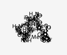 COC(=O)/C=C/c1ccc(C2(OC)OOC23C2CC4CC(C2)CC3C4)c(Cl)c1OCc1ccc(NC(=O)[C@H](CCC(N)=O)NC(=O)[C@H](CC(C)C)NC(=O)[C@H](CCCCN)NC(=O)[C@H](CO)NC(=O)[C@H](CO)NC(=O)[C@H](Cc2c[nH]cn2)NC(=O)N2CCOCC2)cc1